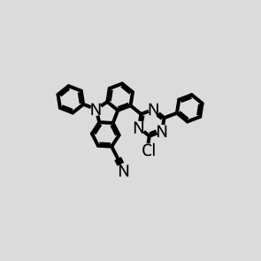 N#Cc1ccc2c(c1)c1c(-c3nc(Cl)nc(-c4ccccc4)n3)cccc1n2-c1ccccc1